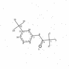 CC(C)(C)C(=O)Cc1cccc(C(C)(C)C)c1